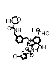 O=C(NCc1cccc(Cn2nc(NS(=O)(=O)c3ccc(Cl)s3)c3c(O)cccc32)c1)[C@H]1COCCN1.O=CO